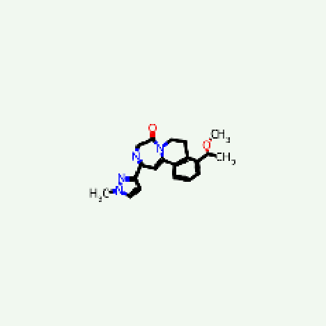 COC(C)c1cccc2c1CCN1C(=O)CN=C(c3ccn(C)n3)C=C21